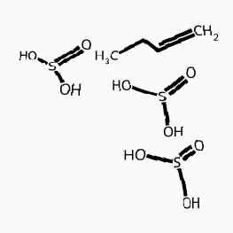 C=CCC.O=S(O)O.O=S(O)O.O=S(O)O